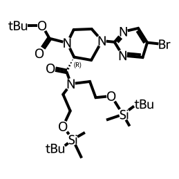 CC(C)(C)OC(=O)N1CCN(c2ncc(Br)cn2)C[C@@H]1C(=O)N(CCO[Si](C)(C)C(C)(C)C)CCO[Si](C)(C)C(C)(C)C